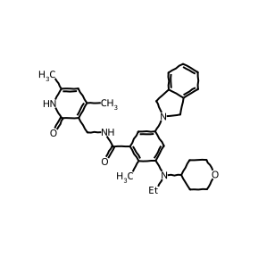 CCN(c1cc(N2Cc3ccccc3C2)cc(C(=O)NCc2c(C)cc(C)[nH]c2=O)c1C)C1CCOCC1